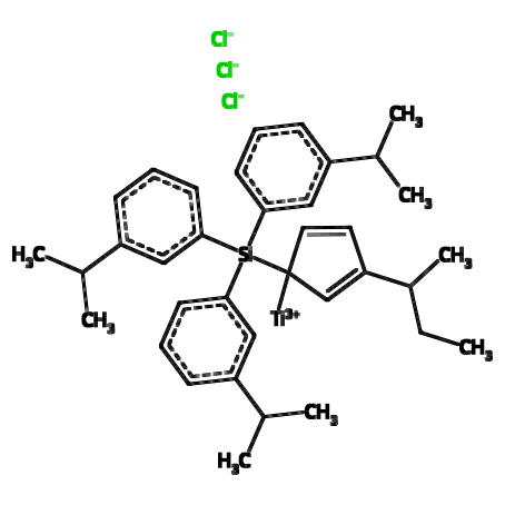 CCC(C)C1=C[C]([Ti+3])([Si](c2cccc(C(C)C)c2)(c2cccc(C(C)C)c2)c2cccc(C(C)C)c2)C=C1.[Cl-].[Cl-].[Cl-]